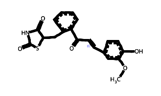 COc1cc(/C=C/C(=O)c2ccccc2CC2SC(=O)NC2=O)ccc1O